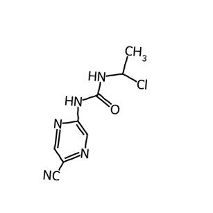 CC(Cl)NC(=O)Nc1cnc(C#N)cn1